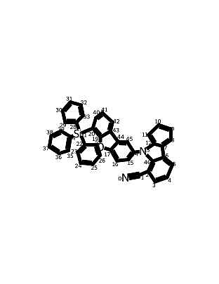 N#Cc1cccc2c3ccccc3n(-c3ccc4oc5c([Si](c6ccccc6)(c6ccccc6)c6ccccc6)cccc5c4c3)c12